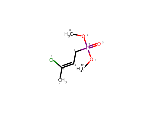 COP(=O)(CC=C(C)Cl)OC